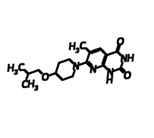 Cc1cc2c(=O)[nH]c(=O)[nH]c2nc1N1CCC(OCC(C)C)CC1